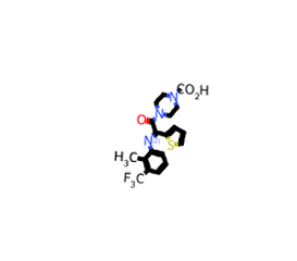 Cc1c(/N=C(/C(=O)N2CCN(C(=O)O)CC2)c2cccs2)cccc1C(F)(F)F